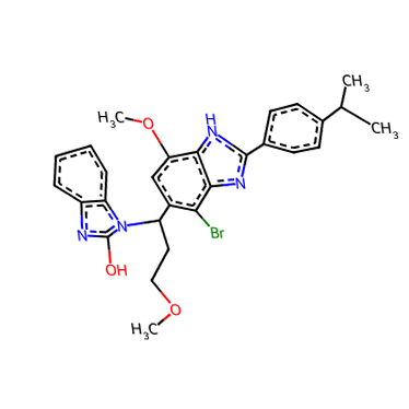 COCCC(c1cc(OC)c2[nH]c(-c3ccc(C(C)C)cc3)nc2c1Br)n1c(O)nc2ccccc21